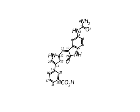 NC(=O)Nc1ccc2c(c1)C(=Cc1cc(-c3cccc(C(=O)O)c3)c[nH]1)C(=O)N2